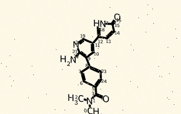 CN(C)C(=O)c1ccc(-c2cc(-c3ccc(=O)[nH]c3)cnc2N)cc1